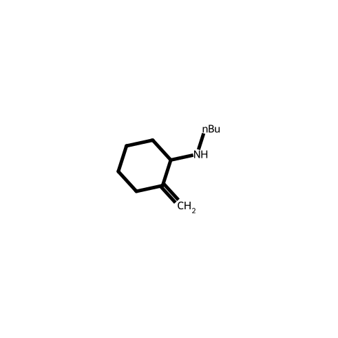 C=C1CCCCC1NCCCC